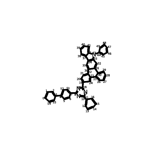 c1ccc(-c2ccc(-c3nc(-c4ccccc4)nc(-c4ccc5c(c4)c4ccccc4c4cc6c(cc54)c4ccccc4n6-c4ccccc4)n3)cc2)cc1